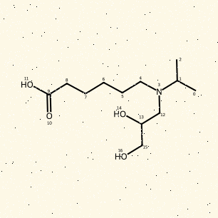 CC(C)N(CCCCCC(=O)O)CC(O)CO